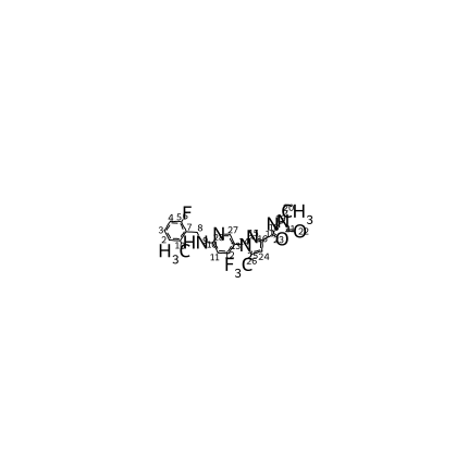 Cc1cccc(F)c1CNc1ccc(-n2nc(-c3nn(C)c(=O)o3)cc2C(F)(F)F)cn1